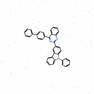 c1ccc(-c2ccc(-c3nc(-c4ccc5c(c4)c4ccccc4n5-c4ccccc4)nc4ccccc34)cc2)cc1